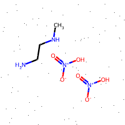 CNCCN.O=[N+]([O-])O.O=[N+]([O-])O